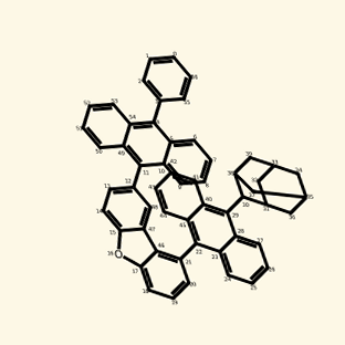 c1ccc(-c2c3ccccc3c(-c3ccc4oc5cccc(-c6c7ccccc7c(C7C8CC9CC(C8)CC7C9)c7ccccc67)c5c4c3)c3ccccc23)cc1